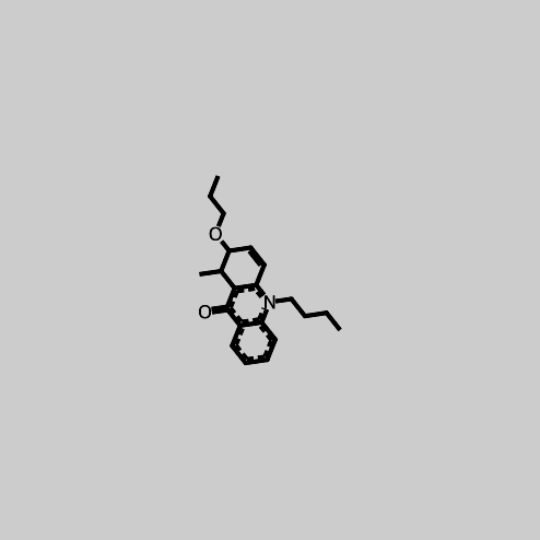 CCCCn1c2c(c(=O)c3ccccc31)C(C)C(OCCC)C=C2